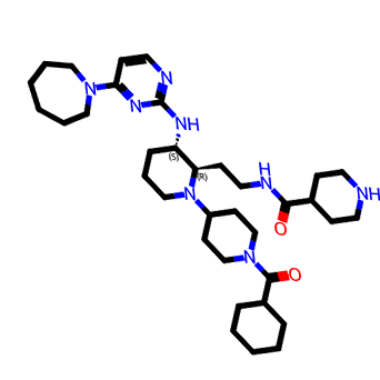 O=C(NCC[C@@H]1[C@@H](Nc2nccc(N3CCCCCC3)n2)CCCN1C1CCN(C(=O)C2CCCCC2)CC1)C1CCNCC1